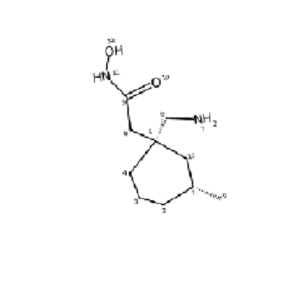 C[C@@H]1CCC[C@@](CN)(CC(=O)NO)C1